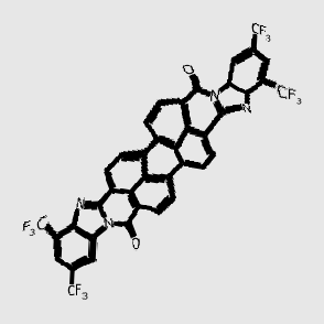 O=c1c2ccc3c4ccc5c6n(c(=O)c7ccc(c8ccc(c9n1C1C=C(C(F)(F)F)C=C(C(F)(F)F)C1N=9)c2c38)c4c75)C1C=C(C(F)(F)F)C=C(C(F)(F)F)C1N=6